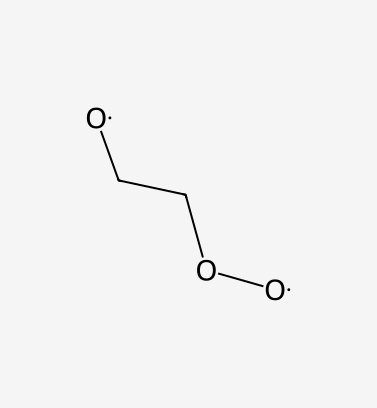 [O]CCO[O]